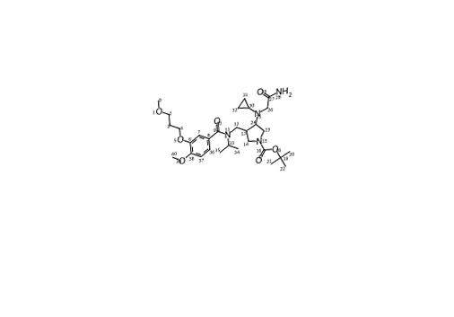 COCCCOc1cc(C(=O)N(CC2CN(C(=O)OC(C)(C)C)CC2N(CC(N)=O)C2CC2)C(C)C)ccc1OC